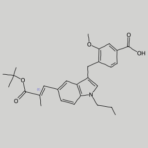 CCCn1cc(Cc2ccc(C(=O)O)cc2OC)c2cc(/C=C(\C)C(=O)OC(C)(C)C)ccc21